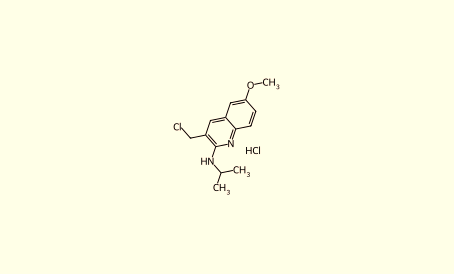 COc1ccc2nc(NC(C)C)c(CCl)cc2c1.Cl